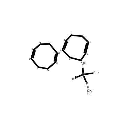 C1=C\CC/C=C\CC/1.C1=C\CC/C=C\CC/1.F[B-](F)(F)F.[Rh]